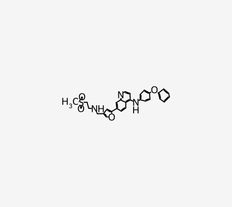 CS(=O)(=O)CCNCc1coc(-c2ccc3c(Nc4ccc(Oc5ccccc5)cc4)ccnc3c2)c1